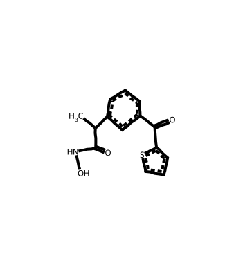 CC(C(=O)NO)c1cccc(C(=O)c2cccs2)c1